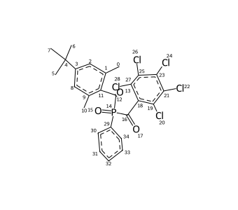 Cc1cc(C(C)(C)C)cc(C)c1C(=O)P(=O)(C(=O)c1c(Cl)c(Cl)c(Cl)c(Cl)c1Cl)c1ccccc1